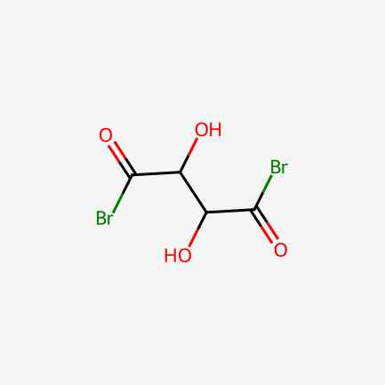 O=C(Br)C(O)C(O)C(=O)Br